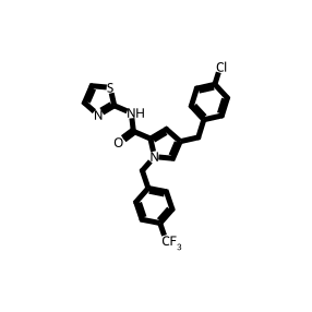 O=C(Nc1nccs1)c1cc(Cc2ccc(Cl)cc2)cn1Cc1ccc(C(F)(F)F)cc1